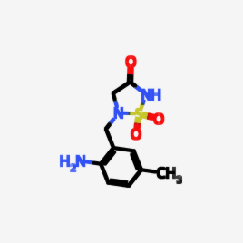 Cc1ccc(N)c(CN2CC(=O)NS2(=O)=O)c1